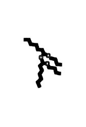 CCCCCCC(OCCCC)OC(CCCCCC)OCCCC